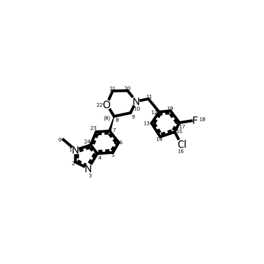 Cn1cnc2ccc([C@@H]3CN(Cc4ccc(Cl)c(F)c4)CCO3)cc21